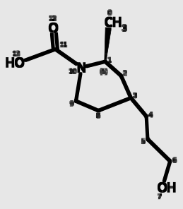 C[C@H]1CC(CCCO)CCN1C(=O)O